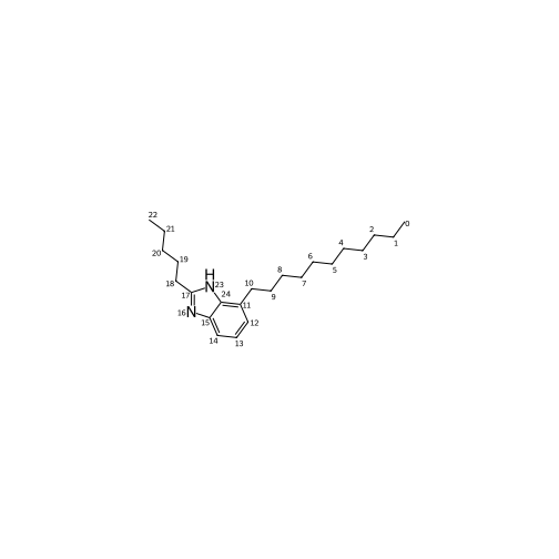 CCCCCCCCCCCc1cccc2nc(CCCCC)[nH]c12